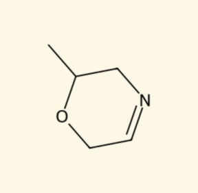 CC1CN=CCO1